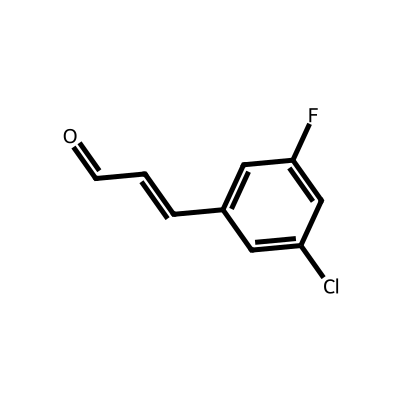 O=C/C=C/c1cc(F)cc(Cl)c1